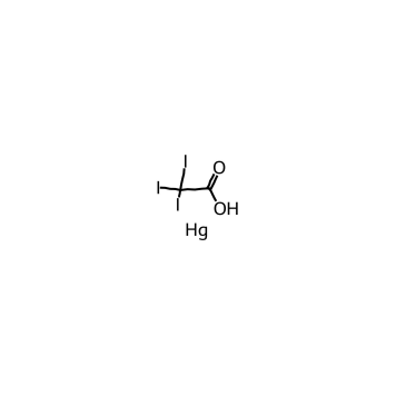 O=C(O)C(I)(I)I.[Hg]